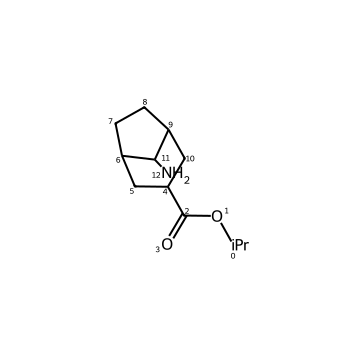 CC(C)OC(=O)C1CC2CCC(C1)C2N